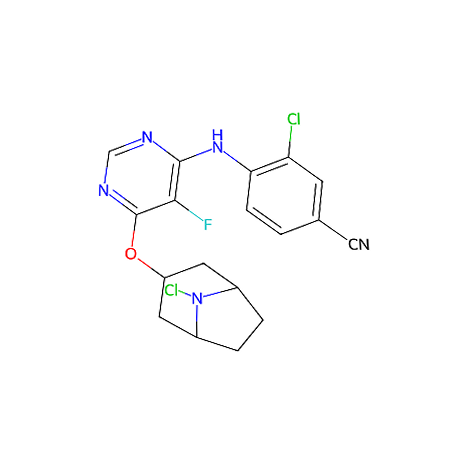 N#Cc1ccc(Nc2ncnc(OC3CC4CCC(C3)N4Cl)c2F)c(Cl)c1